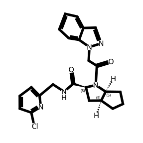 O=C(NCc1cccc(Cl)n1)[C@@H]1C[C@@H]2CCC[C@@H]2N1C(=O)Cn1ncc2ccccc21